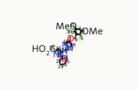 COc1cc(OC)c(F)c(COc2cnc(Nc3cc(C(=O)O)nn3C3CCCCO3)nc2)c1F